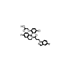 O=C(O)COc1ccc(Cl)cc1[C@@H]1c2ccc(F)cc2CCN1C(=O)CCn1ncc2cc(F)ccc21